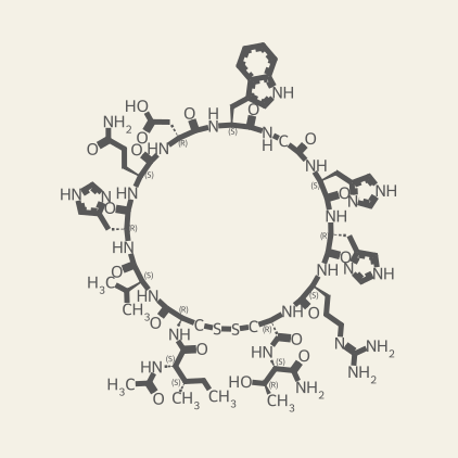 CC[C@H](C)[C@H](NC(C)=O)C(=O)N[C@H]1CSSC[C@@H](C(=O)N[C@H](C(N)=O)[C@@H](C)O)NC(=O)[C@H](CCCN=C(N)N)NC(=O)[C@@H](Cc2c[nH]cn2)NC(=O)[C@H](Cc2c[nH]cn2)NC(=O)CNC(=O)[C@H](Cc2c[nH]c3ccccc23)NC(=O)[C@@H](CC(=O)O)NC(=O)[C@H](CCC(N)=O)NC(=O)[C@@H](Cc2c[nH]cn2)NC(=O)[C@H](C(C)C)NC1=O